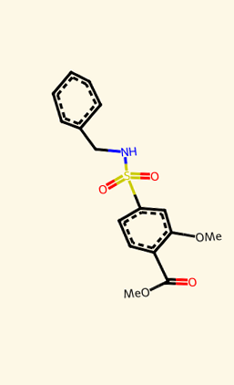 COC(=O)c1ccc(S(=O)(=O)NCc2ccccc2)cc1OC